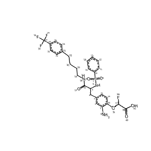 Nc1cc(CC(NS(=O)(=O)c2ccccc2)C(=O)NCCCCc2ccc(C(F)(F)F)cc2)ccc1OC(F)C(=O)O